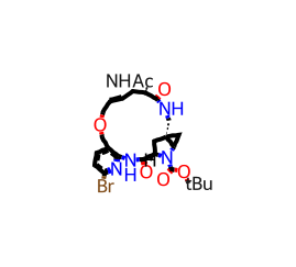 CC(=O)N[C@H]1C/C=C/COCc2ccc(Br)nc2NC(=O)[C@@H]2C[C@@]3(CNC1=O)CC3N2C(=O)OC(C)(C)C